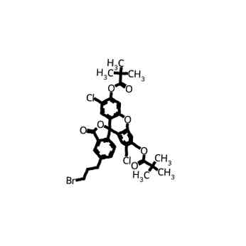 CC(C)(C)C(=O)Oc1cc2c(cc1Cl)C1(OC(=O)c3cc(CCCBr)ccc31)c1cc(Cl)c(OC(=O)C(C)(C)C)cc1O2